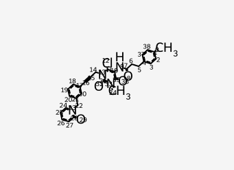 Cc1ccc(CCC(=O)Nc2c(Cl)n(CC#Cc3cccc(Cn4ccccc4=O)c3)c(=O)n(C)c2=O)cc1